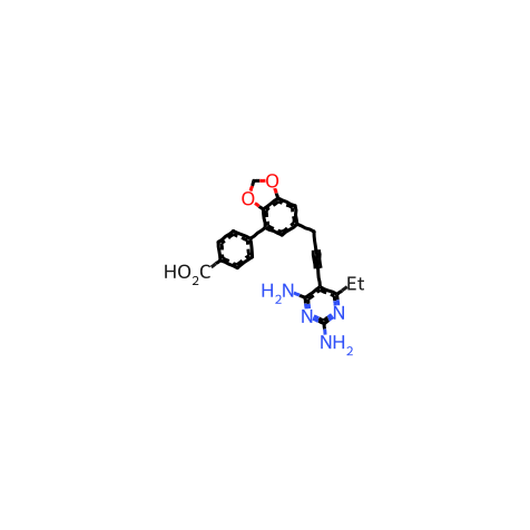 CCc1nc(N)nc(N)c1C#CCc1cc2c(c(-c3ccc(C(=O)O)cc3)c1)OCO2